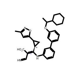 Cc1cc(C2C[C@H]2/C(Nc2cccc(-c3cccc(OC(C)C4CCCCC4)c3)c2)=C(/C=N)C(=O)O)on1